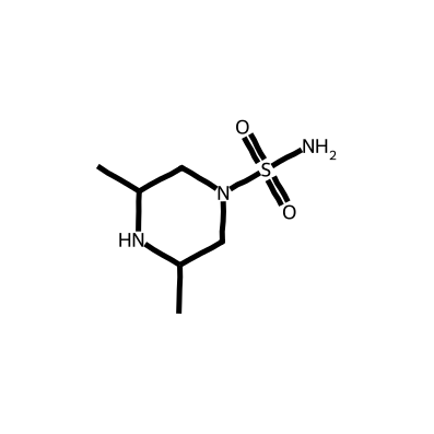 CC1CN(S(N)(=O)=O)CC(C)N1